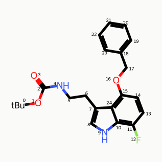 CC(C)(C)OC(=O)NCCc1c[nH]c2c(F)ccc(OCc3ccccc3)c12